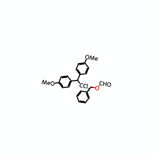 COc1ccc(C(c2ccc(OC)cc2)C(Cl)(Cl)Cl)cc1.O=COCc1ccccc1